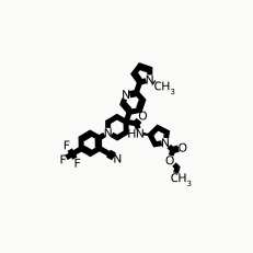 CCOC(=O)N1CC[C@H](NC(=O)C2(c3ccc(-c4cccn4C)nc3)CCN(c3ccc(C(F)(F)F)cc3C#N)CC2)C1